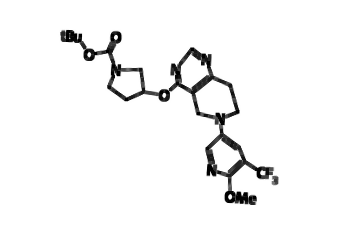 COc1ncc(N2CCc3ncnc(OC4CCN(C(=O)OC(C)(C)C)C4)c3C2)cc1C(F)(F)F